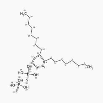 CCCCCCCCc1ccccc1CCCCCCCC.OP(O)(O)=S.OP(O)(O)=S